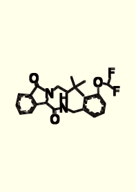 CC(C)(C)CCN1C(=O)c2ccccc2C1C(=O)NCc1cccc(OC(F)F)c1